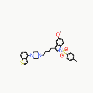 COc1ccc2c(c1)c(CCCCN1CCN(c3cccc4sccc34)CC1)cn2S(=O)(=O)c1ccc(C)cc1